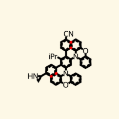 CC(C)c1c(-c2ccc(C#N)cc2)c(N2c3ccccc3Oc3ccccc32)cc(N2c3ccccc3Oc3ccccc32)c1-c1ccc(C2CN2)cc1